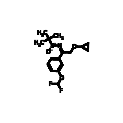 CC(C)(C)[S@@+]([O-])/N=C(/COC1CC1)c1cccc(OC(F)F)c1